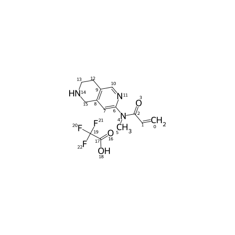 C=CC(=O)N(C)c1cc2c(cn1)CCNC2.O=C(O)C(F)(F)F